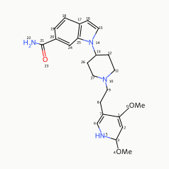 COC1=CC(OC)NC=C1CCN1CCC(n2ccc3ccc(C(N)=O)cc32)CC1